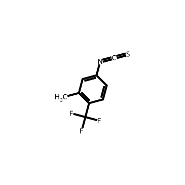 Cc1cc(N=C=S)ccc1C(F)(F)F